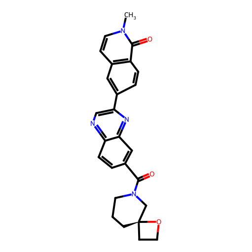 Cn1ccc2cc(-c3cnc4ccc(C(=O)N5CCC[C@@]6(CCO6)C5)cc4n3)ccc2c1=O